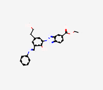 CCOC(=O)c1ccc2nn(-c3cc(CCO)cc(C=Nc4ccccc4)c3O)nc2c1